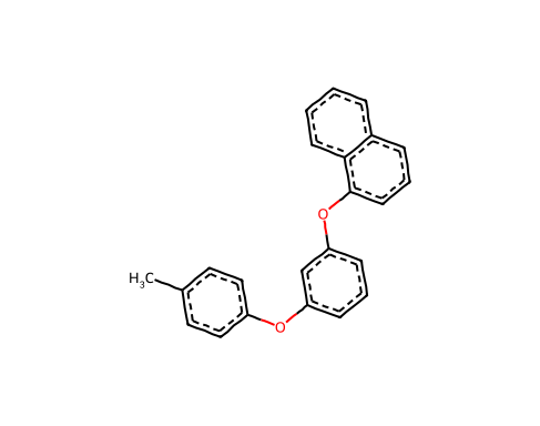 Cc1ccc(Oc2cccc(Oc3cccc4ccccc34)c2)cc1